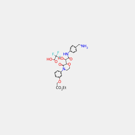 CCOC(=O)COc1cccc(N2CCO[C@H]([C@@H](O)C(=O)Nc3ccc(CN)cc3)C2=O)c1.O=C(O)C(F)(F)F